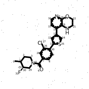 CC1CCN(C(=O)c2ccc(-c3cc(-c4ccnc5c4NCCO5)cs3)c(Cl)c2)C[C@H]1F